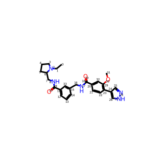 CCN1CCCC1CNC(=O)c1cccc(CNC(=O)c2ccc(-c3cn[nH]c3)c(OC)c2)c1